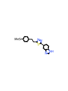 CSc1ccc(CCc2nnc(-c3ccc4[nH]cnc4c3)s2)cc1